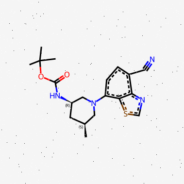 C[C@H]1C[C@@H](NC(=O)OC(C)(C)C)CN(c2ccc(C#N)c3ncsc23)C1